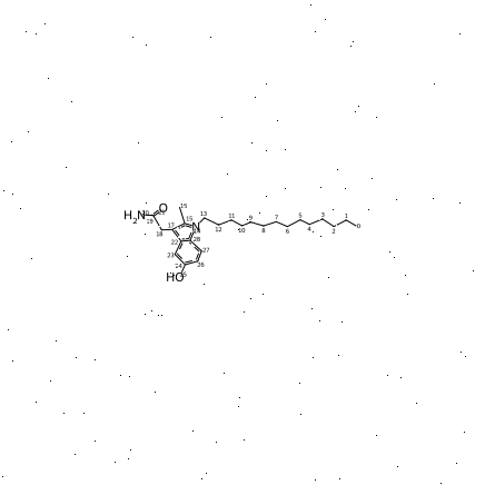 CCCCCCCCCCCCCCn1c(C)c(CC(N)=O)c2cc(O)ccc21